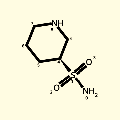 NS(=O)(=O)[C@H]1CCCNC1